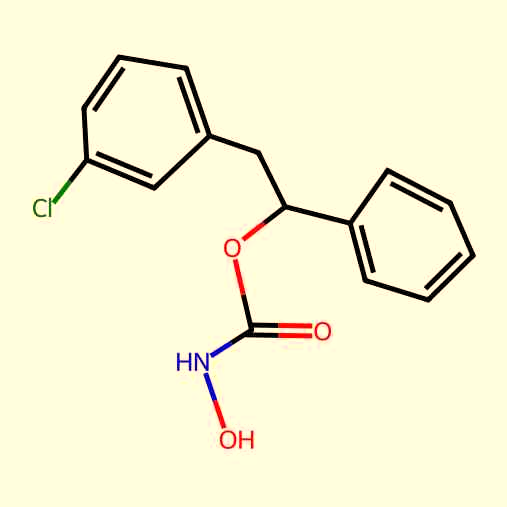 O=C(NO)OC(Cc1cccc(Cl)c1)c1ccccc1